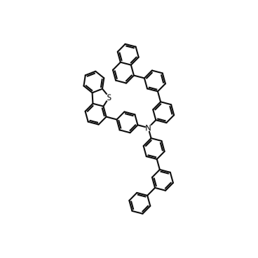 c1ccc(-c2cccc(-c3ccc(N(c4ccc(-c5cccc6c5sc5ccccc56)cc4)c4cccc(-c5cccc(-c6cccc7ccccc67)c5)c4)cc3)c2)cc1